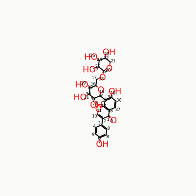 O=c1c(-c2ccc(O)cc2)coc2c(C3OC(COC4OCC(O)C(O)C4O)C(O)C(O)C3O)c(O)ccc12